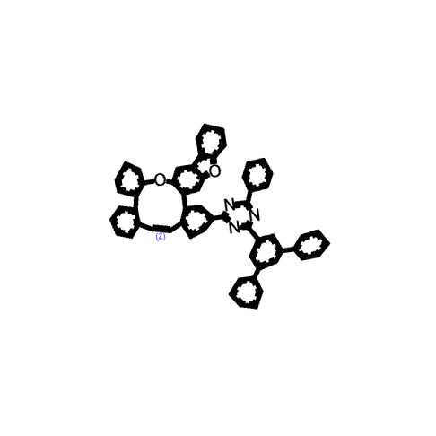 C1=C\c2ccc(-c3nc(-c4ccccc4)nc(-c4cc(-c5ccccc5)cc(-c5ccccc5)c4)n3)cc2-c2cc3oc4ccccc4c3cc2Oc2ccccc2-c2ccccc2/1